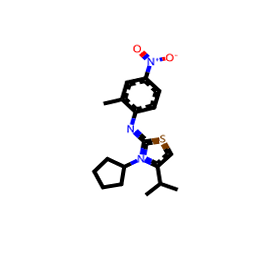 Cc1cc([N+](=O)[O-])ccc1N=c1scc(C(C)C)n1C1CCCC1